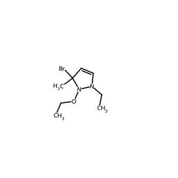 CCON1N(CC)C=CC1(C)Br